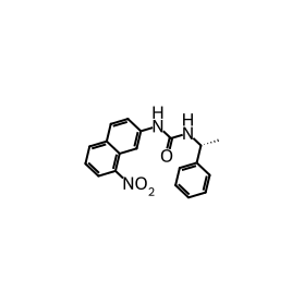 C[C@@H](NC(=O)Nc1ccc2cccc([N+](=O)[O-])c2c1)c1ccccc1